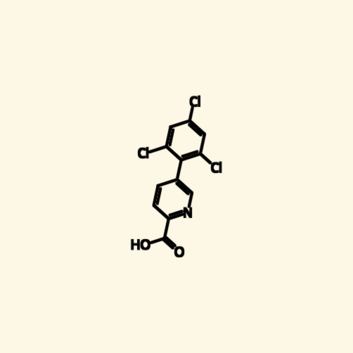 O=C(O)c1ccc(-c2c(Cl)cc(Cl)cc2Cl)cn1